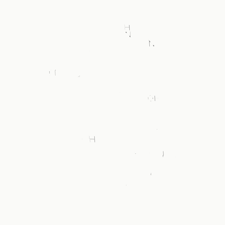 O[C@]1(c2cc(Cl)cc3[nH]ncc23)C[C@H]2CCC[C@H]2C1